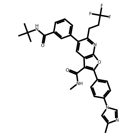 CNC(=O)c1c(-c2ccc(-n3cnc(C)c3)cc2)oc2nc(CCC(F)(F)F)c(-c3cccc(C(=O)NC(C)(C)C)c3)cc12